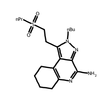 CCCCn1nc2c(N)nc3c(c2c1CCS(=O)(=O)CCC)CCCC3